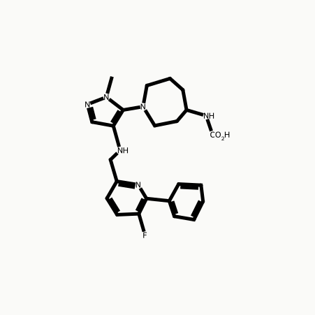 Cn1ncc(NCc2ccc(F)c(-c3ccccc3)n2)c1N1CCCC(NC(=O)O)CC1